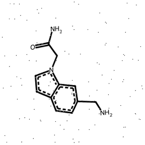 NCc1ccc2ccn(CC(N)=O)c2c1